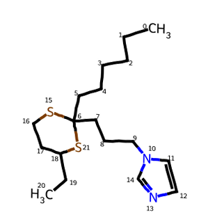 CCCCCCC1(CCCn2ccnc2)SCCC(CC)S1